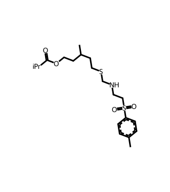 Cc1ccc(S(=O)(=O)CCNCSCCC(C)CCOC(=O)C(C)C)cc1